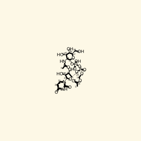 CC(=O)N[C@H]1[C@@H](OP(=O)(O)OP(=O)(OCOC(C)=O)OC[C@@H]2O[C@H](n3ccc(=O)[nH]c3=O)[C@@H](O)[C@H]2O)O[C@H](CO)[C@@H](O)[C@@H]1O